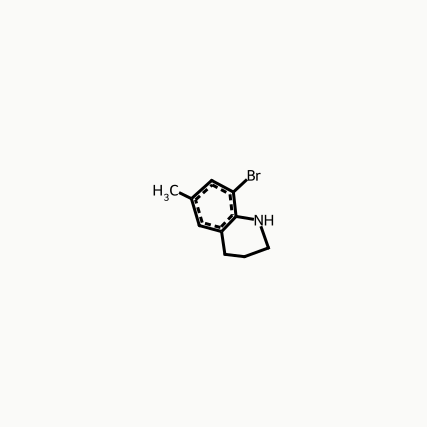 Cc1cc(Br)c2c(c1)CCCN2